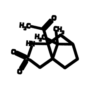 CC(=O)C12CC3CCC1(CS(=O)(=O)N2)C3(C)C